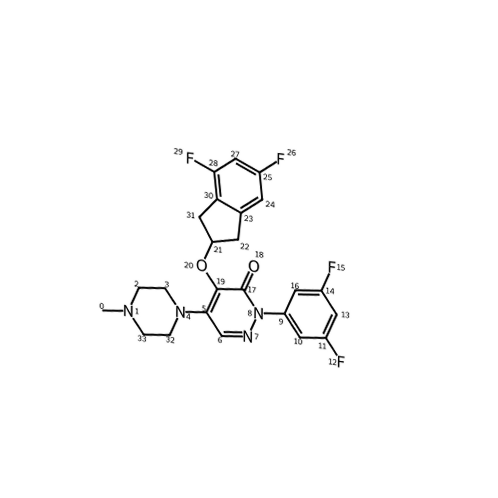 CN1CCN(c2cnn(-c3cc(F)cc(F)c3)c(=O)c2OC2Cc3cc(F)cc(F)c3C2)CC1